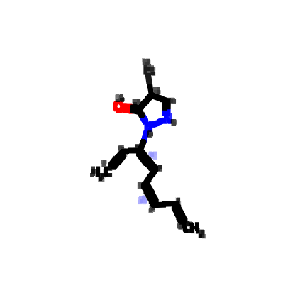 C=C/C=C\C=C(/C=C)N1N=CC(CC)C1=O